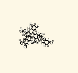 COc1ccc(CN(c2nn(C)c3c(-n4c([C@H](Cc5cc(F)cc(F)c5)NC(=O)OC(C)(C)C)nc5nc(OC)c(Cl)cc5c4=O)ccc(Cl)c23)S(C)(=O)=O)cc1